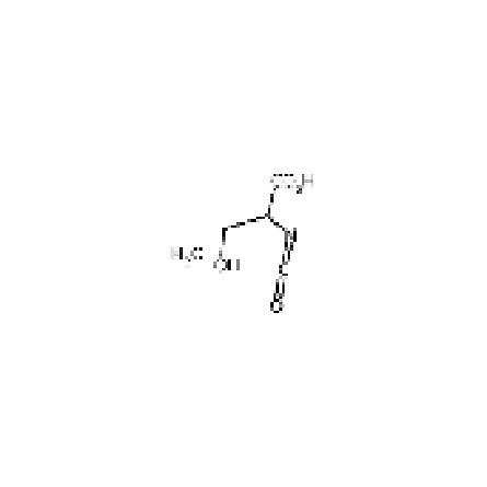 O.O=C=NC(CO)C(=O)O